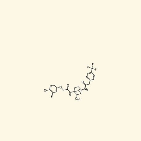 O=C(Cc1ccc(C(F)(F)F)cn1)NC12CCC(NC(=O)COc3ccc(Cl)c(F)c3)(CC1)C(O)C2